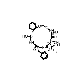 CCC(C)[C@@H]1NCCOc2ccccc2C[C@H](O)CNC(=O)[C@@H](Cc2ccccc2)NC(=O)[C@H](C(C)O)N(C)C1=O